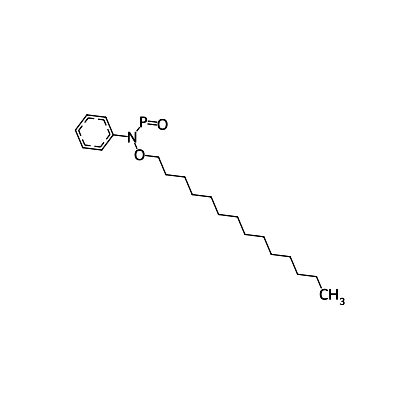 CCCCCCCCCCCCCCON(P=O)c1ccccc1